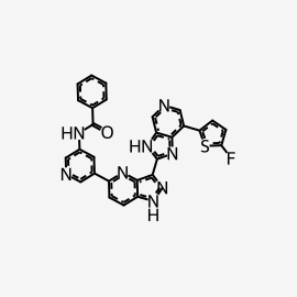 O=C(Nc1cncc(-c2ccc3[nH]nc(-c4nc5c(-c6ccc(F)s6)cncc5[nH]4)c3n2)c1)c1ccccc1